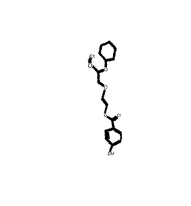 CCOC(COCCOC(=O)c1ccc(O)cc1)OC1CCCCC1